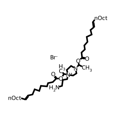 CCCCCCCCC=CCCCCCCCC(=O)OC(C)N1CC[N+](CCCN)(C(C)OC(=O)CCCCCCCC=CCCCCCCCC)CC1.[Br-]